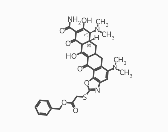 CN(C)c1cc2nc(SCC(=O)OCc3ccccc3)oc2c2c1CC1C[C@@H]3C(C(=O)C(C(N)=O)=C(O)[C@H]3N(C)C)C(O)=C1C2=O